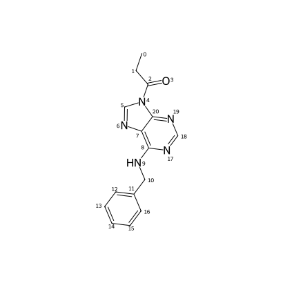 CCC(=O)n1cnc2c(NCc3ccccc3)ncnc21